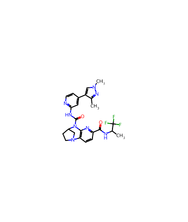 Cc1nn(C)cc1-c1ccnc(NC(=O)N2c3nc(C(=O)NC(C)C(F)(F)F)ccc3N3CCC2C3)c1